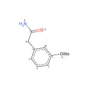 COc1cccc([CH]C(N)=O)c1